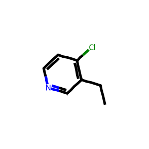 CCc1[c]nccc1Cl